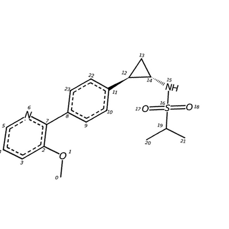 COc1cccnc1-c1ccc([C@H]2C[C@@H]2NS(=O)(=O)C(C)C)cc1